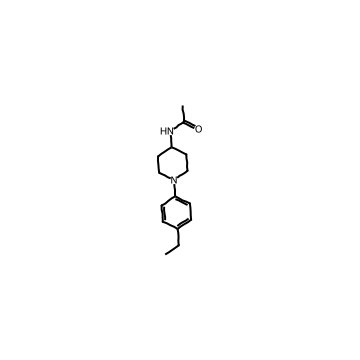 CCc1ccc(N2CCC(NC(C)=O)CC2)cc1